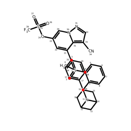 CS(=O)(=O)c1ccccc1CN1C2CC1CN(c1ccc(-c3cc(OS(=O)(=O)C(F)(F)F)cn4ncc(C#N)c34)cn1)C2